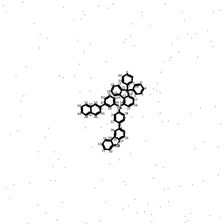 c1ccc(C2(c3ccccc3)c3ccccc3-c3c(N(c4ccc(-c5ccc6sc7ccccc7c6c5)cc4)c4cccc(-c5ccc6ccccc6c5)c4)cccc32)cc1